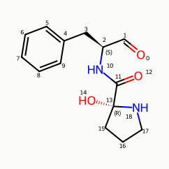 O=[C][C@H](Cc1ccccc1)NC(=O)[C@]1(O)CCCN1